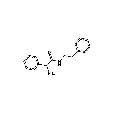 NC(C(=O)NCCc1ccccc1)c1ccccc1